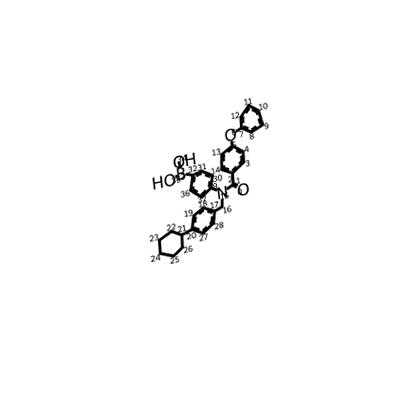 O=C(c1ccc(Oc2ccccc2)cc1)N(Cc1ccc(C2CCCCC2)cc1)c1ccc(B(O)O)cc1